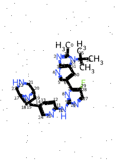 Cc1nc2ncc(-c3nc(Nc4ccc(CN5C6CCC5CNC6)cn4)ncc3F)cc2n1C(C)(C)C